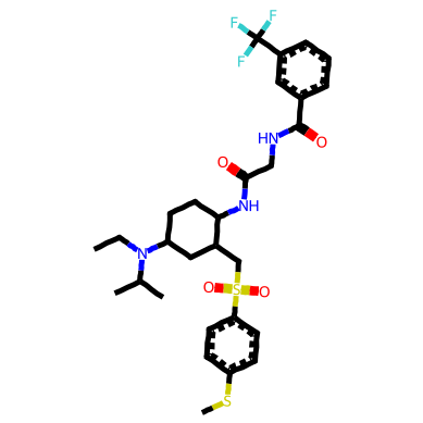 CCN(C(C)C)C1CCC(NC(=O)CNC(=O)c2cccc(C(F)(F)F)c2)C(CS(=O)(=O)c2ccc(SC)cc2)C1